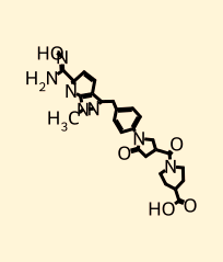 Cn1nc(Cc2ccc(N3CC(C(=O)N4CCC(C(=O)O)CC4)CC3=O)cc2)c2ccc(/C(N)=N/O)nc21